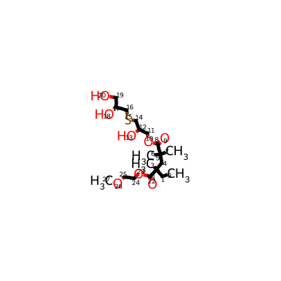 CCC(C)(CC(C)(C)C(=O)OCC(O)CSCC(O)CO)C(=O)OCCOC